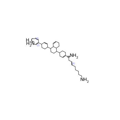 C/C=C\C(=C/N)C1C=CC(C2CCC(C3CC=C([C@@H](N)C/C=C/CCCCCN)CC3)C3CCC=CC23)CC1